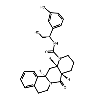 O=C1[C@H]2CCCN(C(=O)N[C@@H](CO)c3cccc(O)c3)[C@H]2C[C@@H]2c3ccccc3CCN12